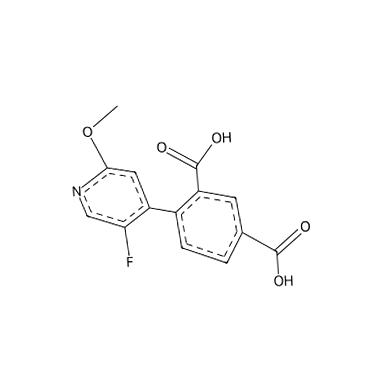 COc1cc(-c2ccc(C(=O)O)cc2C(=O)O)c(F)cn1